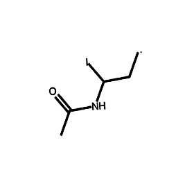 [CH2]CC(I)NC(C)=O